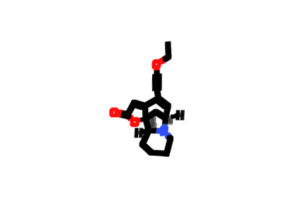 CCOC#CC1=C[C@@H]2C[C@@]3(OC(=O)C=C13)[C@H]1CCCCN21